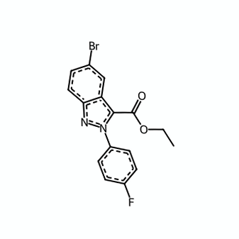 CCOC(=O)c1c2cc(Br)ccc2nn1-c1ccc(F)cc1